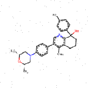 COc1c(-c2ccc(N3C[C@@H](C)O[C@@H](C)C3)cc2)cnc2c1CCCC2(O)c1ccc(C#N)cc1